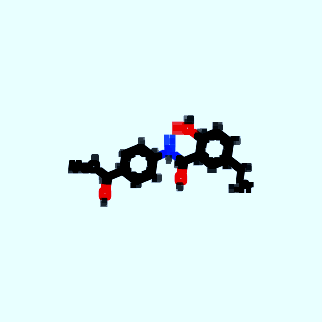 COC(=O)c1ccc(NC(=O)c2cc(CC(C)C)ccc2O)cc1